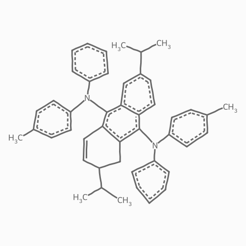 Cc1ccc(N(c2ccccc2)c2c3c(c(N(c4ccccc4)c4ccc(C)cc4)c4ccc(C(C)C)cc24)CC(C(C)C)C=C3)cc1